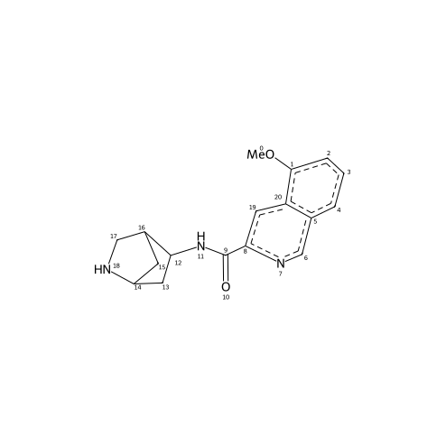 COc1cccc2cnc(C(=O)NC3CC4CC3CN4)cc12